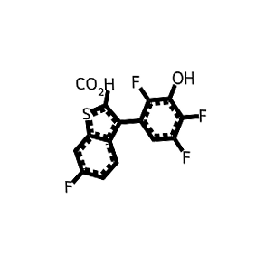 O=C(O)c1sc2cc(F)ccc2c1-c1cc(F)c(F)c(O)c1F